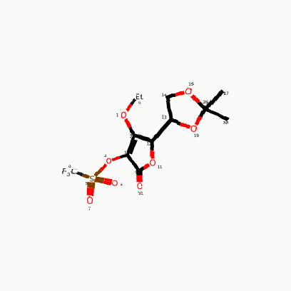 CCOC1=C(OS(=O)(=O)C(F)(F)F)C(=O)OC1C1COC(C)(C)O1